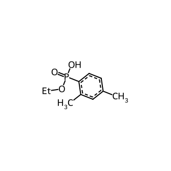 CCOP(=O)(O)c1ccc(C)cc1C